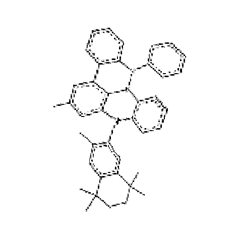 Cc1cc2c3c(c1)N(c1cc4c(cc1C)C(C)(C)CCC4(C)C)c1ccccc1B3N(c1ccccc1)c1ccccc1-2